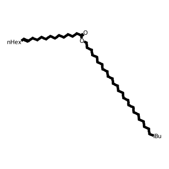 CCCCCCC=CCCCCCCCCCCCC(=O)OCCCCCCCCCCCCCCCCCCCCCCCCCCC(C)CC